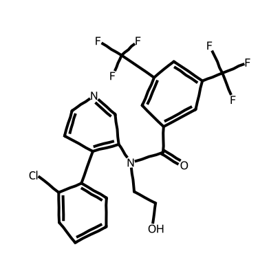 O=C(c1cc(C(F)(F)F)cc(C(F)(F)F)c1)N(CCO)c1cnccc1-c1ccccc1Cl